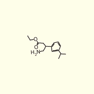 CCOC(=O)CC(CN)c1cccc(C(C)C)c1